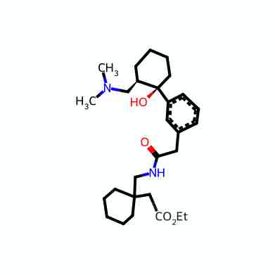 CCOC(=O)CC1(CNC(=O)Cc2cccc([C@@]3(O)CCCC[C@@H]3CN(C)C)c2)CCCCC1